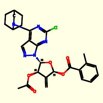 C=C1[C@H](OC(=O)c2ccccc2C)O[C@@H](n2ncc3c(N4CC5CCC4CC5)nc(Cl)nc32)[C@@H]1OC(C)=O